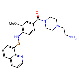 COc1cc(C(=O)N2CCN(CCN)CC2)ccc1NSc1cccc2cccnc12